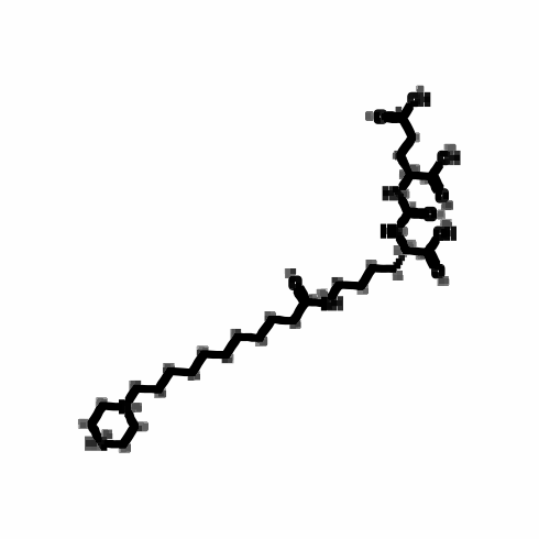 O=C(O)CC[C@H](NC(=O)N[C@@H](CCCCNC(=O)CCCCCCCCCCN1CCNCC1)C(=O)O)C(=O)O